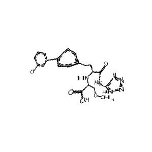 COCC(N[C@@H](Cc1ccc(-c2cccc(Cl)c2)cc1)C(=O)Nc1nnn[nH]1)C(=O)O